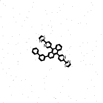 c1ccc(-c2cccc(-c3ccc4c(-c5ccc(-c6nccs6)nc5)c5ccccc5c(-c5ccc(-c6nccs6)nc5)c4c3)c2)cc1